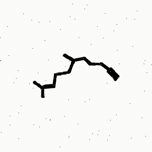 C#CCCCC(C)CCC=C(C)C